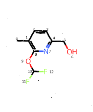 Cc1ccc(CO)nc1OC(F)F